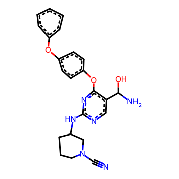 N#CN1CCCC(Nc2ncc(C(N)O)c(Oc3ccc(Oc4ccccc4)cc3)n2)C1